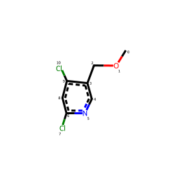 COCc1cnc(Cl)cc1Cl